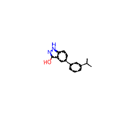 CC(C)c1cccc(-c2ccc3[nH]nc(O)c3c2)c1